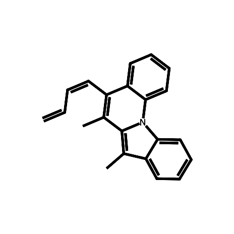 C=C/C=C\c1c(C)c2c(C)c3ccccc3n2c2ccccc12